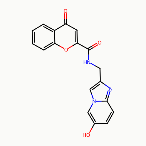 O=C(NCc1cn2cc(O)ccc2n1)c1cc(=O)c2ccccc2o1